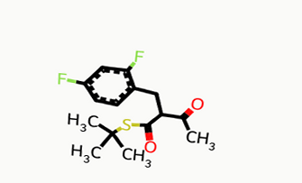 CC(=O)C(Cc1ccc(F)cc1F)C(=O)SC(C)(C)C